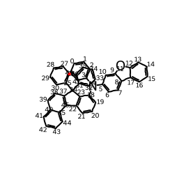 c1ccc(N(c2ccc3c(c2)oc2ccccc23)c2cccc3c2C(c2ccccc2)(c2ccccc2)c2ccc4ccccc4c2-3)cc1